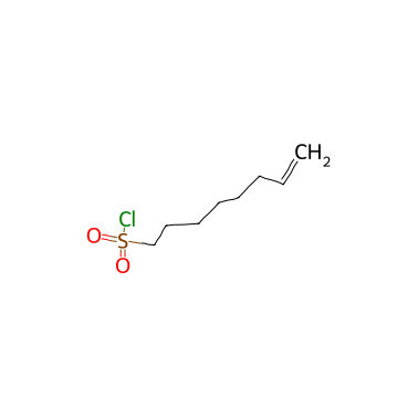 C=CCCCCCCS(=O)(=O)Cl